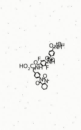 Cn1c2c(c(=O)n(-c3ccc(C[C@H](NC(=O)c4cc(F)c(NS(=O)(=O)c5ccc(C(=O)NC(C)(C)C)cc5)cc4F)C(=O)O)cc3)c1=O)CCCC2